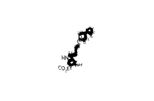 CCOC(=O)c1cc2[nH]cc(CCCCN3CC=C(c4ccccc4)CC3)c2cc1O